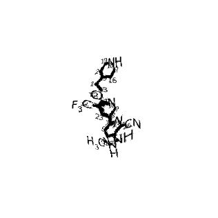 CN1NNc2c1cc(-c1cnc(OCCC3CCNCC3)c(C(F)(F)F)c1)nc2C#N